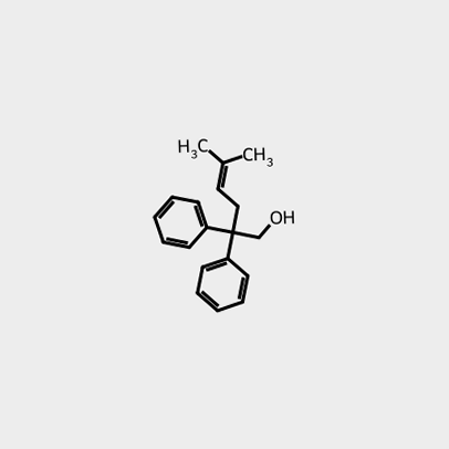 CC(C)=CCC(CO)(c1ccccc1)c1ccccc1